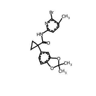 Cc1ccc(NC(=O)C2(c3ccc4c(c3)OC(C)(C)O4)CC2)nc1Br